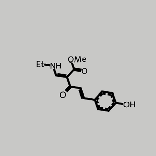 CCNC=C(C(=O)C=Cc1ccc(O)cc1)C(=O)OC